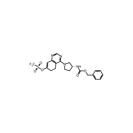 O=C(N[C@@H]1CCN(c2ncnc3c2CCC(OS(=O)(=O)C(F)(F)F)=C3)C1)OCc1ccccc1